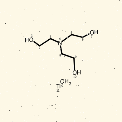 O.OCCN(CCO)CCO.[Ti]